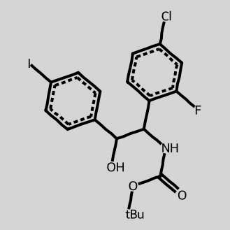 CC(C)(C)OC(=O)NC(c1ccc(Cl)cc1F)C(O)c1ccc(I)cc1